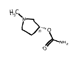 CN1CC[C@@H](OC(N)=O)C1